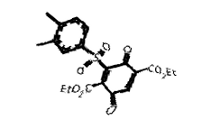 CCOC(=O)C1=CC(=O)C(C(=O)OCC)=C(S(=O)(=O)c2ccc(C)c(C)c2)C1=O